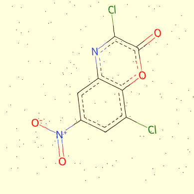 O=c1oc2c(Cl)cc([N+](=O)[O-])cc2nc1Cl